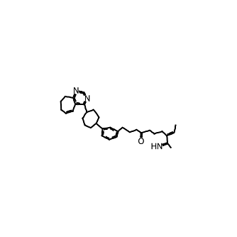 C/C=C(\CCCC(=O)CCCc1cccc(C2CCCC(c3ncnc4c3C=CCCC4)CC2)c1)C(C)=N